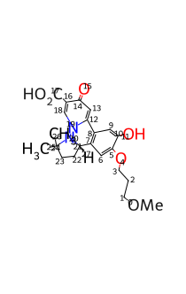 COCCCOc1cc2c(cc1O)-c1cc(=O)c(C(=O)O)cn1N1[C@H]2CCC1(C)C